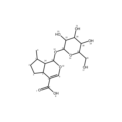 CC1CCC2C(C(=O)O)=COC(OC3OC(CO)C(O)C(O)C3O)C12